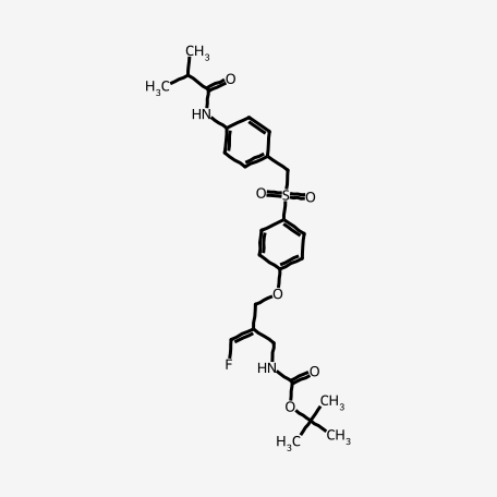 CC(C)C(=O)Nc1ccc(CS(=O)(=O)c2ccc(OC/C(=C/F)CNC(=O)OC(C)(C)C)cc2)cc1